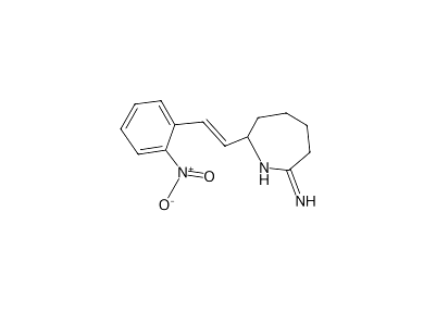 N=C1CCCCC(C=Cc2ccccc2[N+](=O)[O-])N1